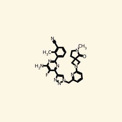 Cc1c(C#N)cccc1-c1nc(N)c(F)c(-c2cn(Cc3cccc(N4CC5(CCN(C)C5=O)C4)n3)nn2)n1